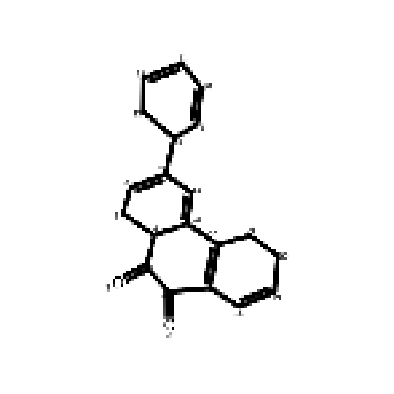 O=C1C(=O)C2CC=C(C3C=CC=CC3)C=C2C2=C1C=CCC2